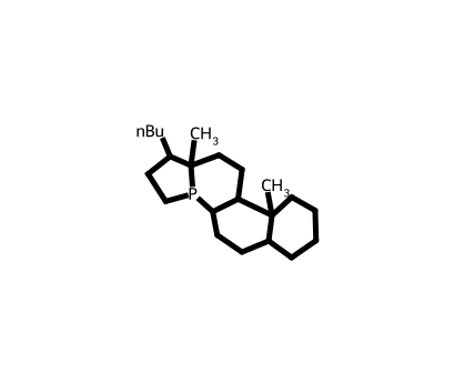 CCCCC1CCP2C3CCC4CCCCC4(C)C3CCC12C